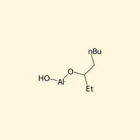 CCCCCC(CC)[O][Al][OH]